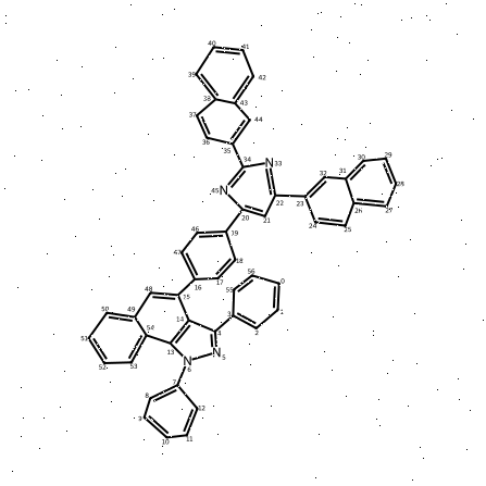 c1ccc(-c2nn(-c3ccccc3)c3c2c(-c2ccc(-c4cc(-c5ccc6ccccc6c5)nc(-c5ccc6ccccc6c5)n4)cc2)cc2ccccc23)cc1